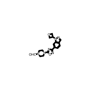 O=CN1CCN(c2nc(-c3ccc4cnn(C5COC5)c4c3)no2)CC1